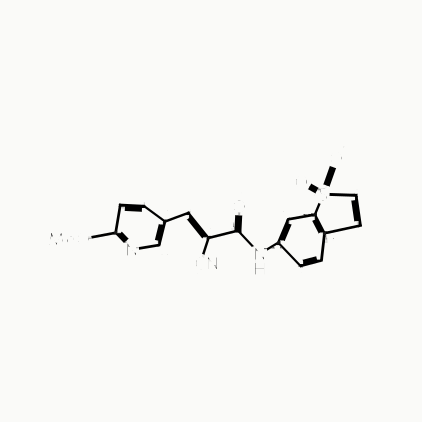 COc1ccc(/C=C(\C#N)C(=O)Nc2ccc3c(c2)S(=O)(=O)C=C3)cn1